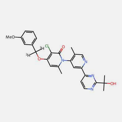 [2H]C([2H])(Oc1cc(C)n(-c2cc(-c3ccnc(C(C)(C)O)n3)ncc2C)c(=O)c1Cl)c1cccc(OC)c1